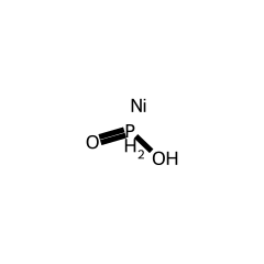 O=[PH2]O.[Ni]